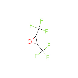 FC(F)(F)C1OC1C(F)(F)F